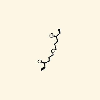 C=CC(=O)CCCOCCCC(=O)C=C